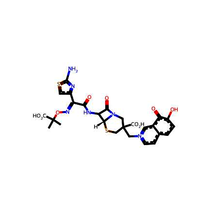 CC(C)(ON=C(C(=O)NC1C(=O)N2CC(Cn3ccc4ccc(O)c(=O)c-4c3)(C(=O)O)CS[C@H]12)c1csc(N)n1)C(=O)O